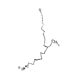 CCCCCCCC(CC)CCCCCCCC[O]